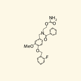 COc1cc(CN(CCOC(N)=O)C(=O)c2ccccc2)ccc1OCc1ccccc1F